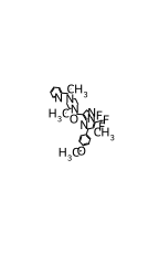 COc1ccc(-c2nc3c(C(=O)N4CCN([C@@H](C)c5ccccn5)C[C@H]4C)cnn3c(C(F)(F)F)c2C)cc1